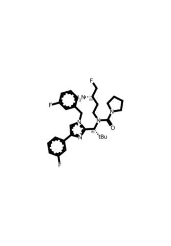 CC(C)(C)[C@H](c1nc(-c2cccc(F)c2)cn1Cc1cccc(F)c1)N(CC[C@H](N)CF)C(=O)N1CCCC1